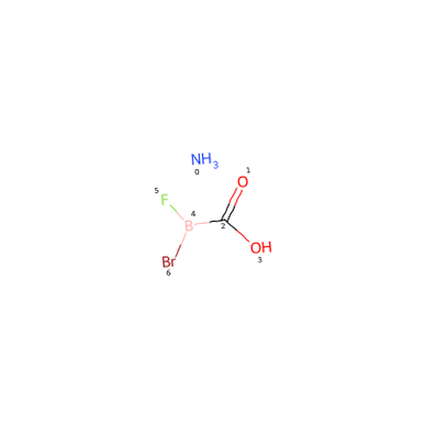 N.O=C(O)B(F)Br